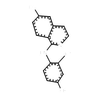 Cc1ccc(Nc2nccc3cc(C)ccc23)c(F)c1